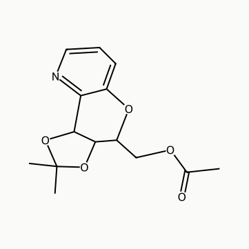 CC(=O)OCC1Oc2cccnc2C2OC(C)(C)OC12